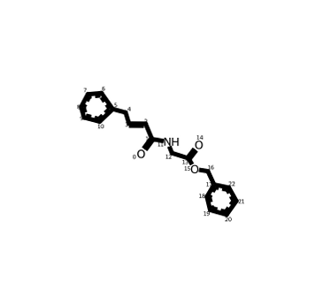 O=C(C=CCc1ccccc1)NCC(=O)OCc1ccccc1